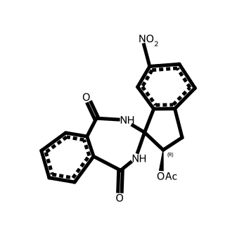 CC(=O)O[C@@H]1Cc2ccc([N+](=O)[O-])cc2C12NC(=O)c1ccccc1C(=O)N2